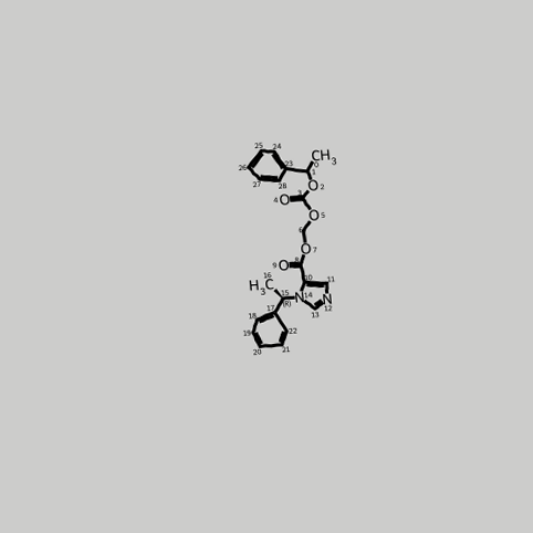 CC(OC(=O)OCOC(=O)c1cncn1[C@H](C)c1ccccc1)c1ccccc1